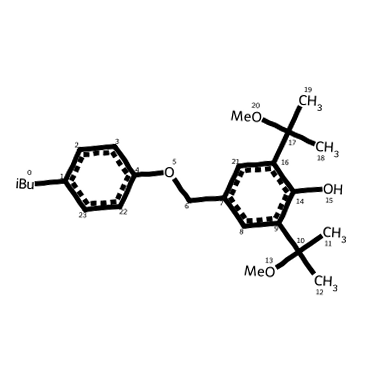 CCC(C)c1ccc(OCc2cc(C(C)(C)OC)c(O)c(C(C)(C)OC)c2)cc1